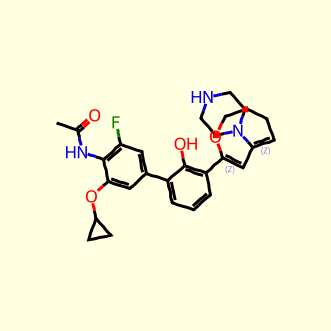 CC(=O)Nc1c(F)cc(-c2cccc(/C3=C/C(N4CCNCC4)=C/CCCO3)c2O)cc1OC1CC1